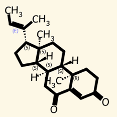 C/C=C(\C)[C@H]1CC[C@H]2[C@@H]3CC(=O)C4=CC(=O)CC[C@]4(C)[C@H]3CC[C@]12C